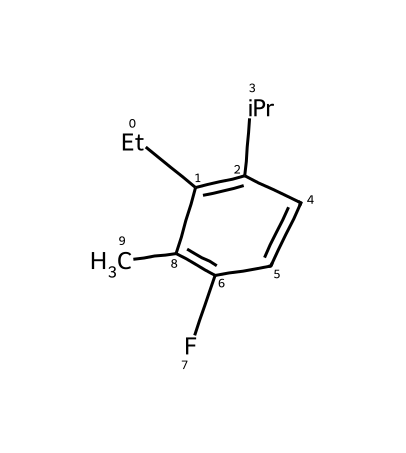 CCc1c(C(C)C)ccc(F)c1C